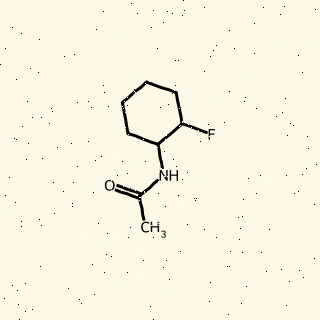 CC(=O)NC1CCCCC1F